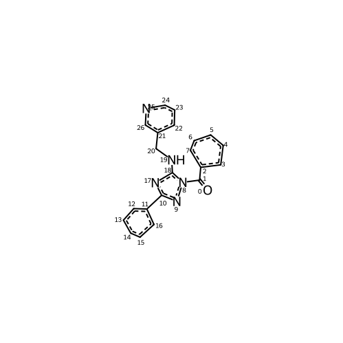 O=C(c1ccccc1)n1nc(-c2ccccc2)nc1NCc1cccnc1